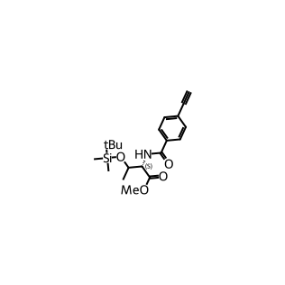 C#Cc1ccc(C(=O)N[C@H](C(=O)OC)C(C)O[Si](C)(C)C(C)(C)C)cc1